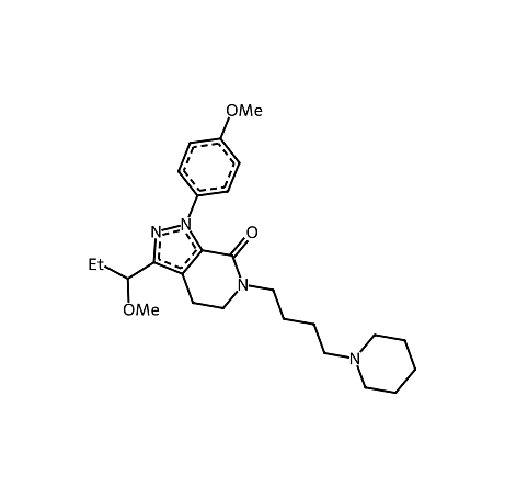 CCC(OC)c1nn(-c2ccc(OC)cc2)c2c1CCN(CCCCN1CCCCC1)C2=O